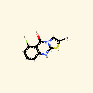 Cc1cn2c(=O)c3c(F)cccc3nc2s1